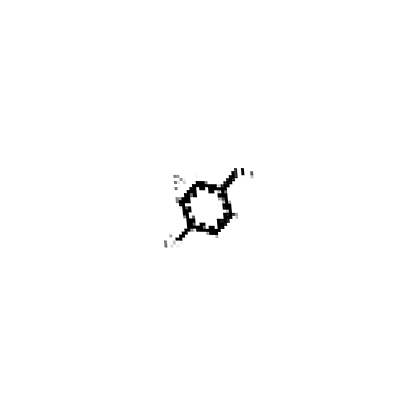 Nc1ccc(O)cc1.[Zn]